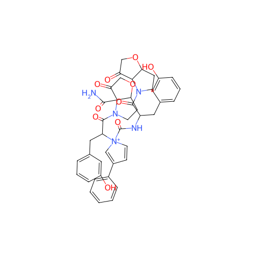 NC(=O)C12C(=O)COC1CCN2C(=O)C(Cc1cccc(O)c1)[N+]1(C(=O)NC(Cc2cccc(O)c2)C(=O)N2CCC3OCC(=O)C32)C=CC(c2ccccc2)=C1